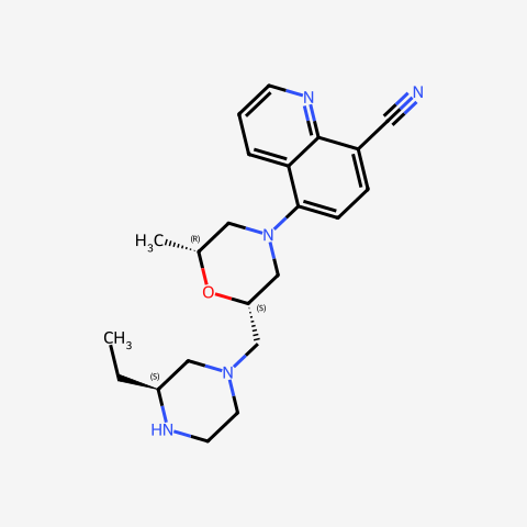 CC[C@H]1CN(C[C@H]2CN(c3ccc(C#N)c4ncccc34)C[C@@H](C)O2)CCN1